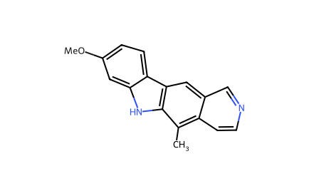 COc1ccc2c(c1)[nH]c1c(C)c3ccncc3cc12